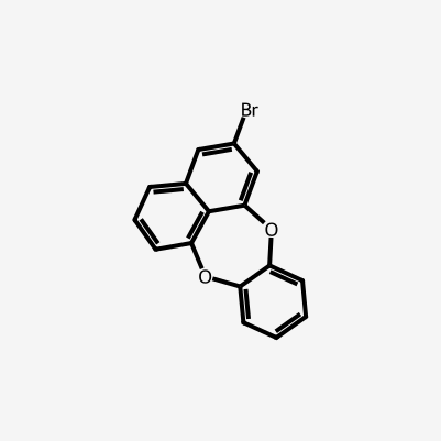 Brc1cc2c3c(cccc3c1)Oc1ccccc1O2